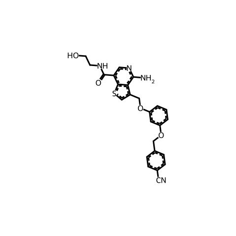 N#Cc1ccc(COc2cccc(OCc3csc4c(C(=O)NCCO)cnc(N)c34)c2)cc1